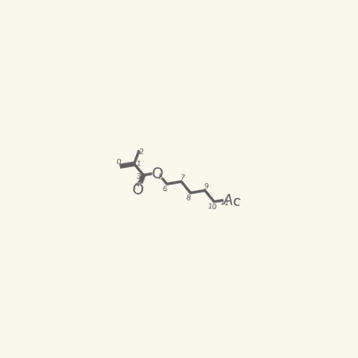 C=C(C)C(=O)OCCCCCC(C)=O